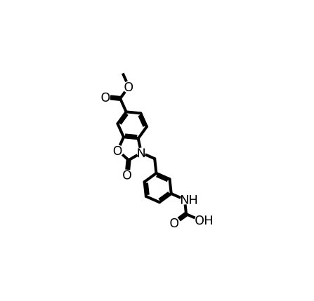 COC(=O)c1ccc2c(c1)oc(=O)n2Cc1cccc(NC(=O)O)c1